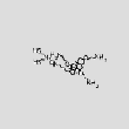 C[C@H](CCCNCCCN(CCS)CCS)C1CCC2[C@H]3[C@H](OCCCN)CC4C[C@H](OCCCN)CCC4(C)[C@H]3C[C@H](OCCCN)C21C